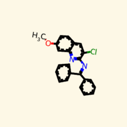 COc1ccc2cc(Cl)c(N=C(c3ccccc3)c3ccccc3)nc2c1